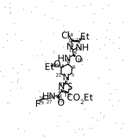 CCOC(=O)c1sc(N2CC[C@@H](NC(=O)c3nc(Cl)c(CC)[nH]3)[C@@H](OCC)C2)nc1C(=O)NCCF